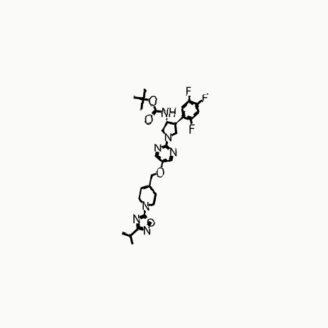 CC(C)c1noc(N2CCC(COc3cnc(N4C[C@H](NC(=O)OC(C)(C)C)[C@@H](c5cc(F)c(F)cc5F)C4)nc3)CC2)n1